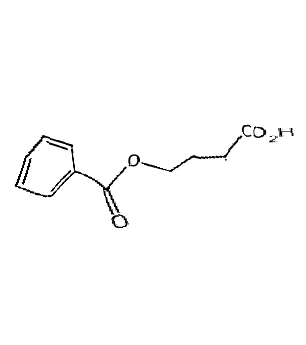 O=C(O)[CH]CCOC(=O)c1ccccc1